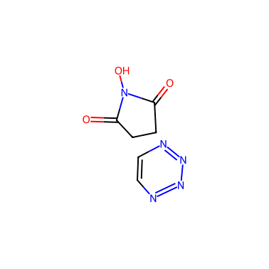 O=C1CCC(=O)N1O.c1cnnnn1